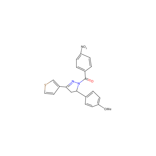 COc1ccc(C2CC(c3ccsc3)=NN2C(=O)c2ccc([N+](=O)[O-])cc2)cc1